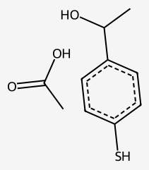 CC(=O)O.CC(O)c1ccc(S)cc1